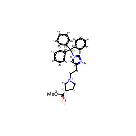 COC(=O)[C@H]1CCN(CCc2cn(C(c3ccccc3)(c3ccccc3)c3ccccc3)cn2)C1